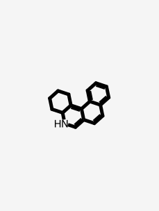 C1=c2ccc3ccccc3c2=C2CCCCC2N1